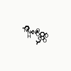 COC1C(OC(=O)N2CC(Nc3cccc(C)n3)C2)CCC2(CO2)C1[C@@]1(C)O[C@@H]1CC=C(C)C